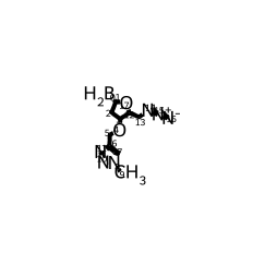 BC1CC(OCc2cn(C)nn2)C(CN=[N+]=[N-])O1